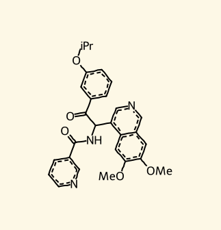 COc1cc2cncc(C(NC(=O)c3cccnc3)C(=O)c3cccc(OC(C)C)c3)c2cc1OC